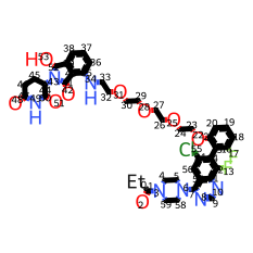 CCC(=O)N1CCN(c2ncnc3c(F)c(-c4c(F)cccc4OCCOCCOCCOCCNc4cccc5c4C(=O)N(C4CCC(=O)NC4=O)C5O)c(Cl)cc23)CC1